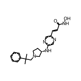 CC(C)(CN1CC[C@@H](Nc2cnc(C=CC(=O)NO)cn2)C1)c1ccccc1